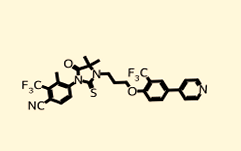 Cc1c(N2C(=O)C(C)(C)N(CCCOc3ccc(-c4ccncc4)cc3C(F)(F)F)C2=S)ccc(C#N)c1C(F)(F)F